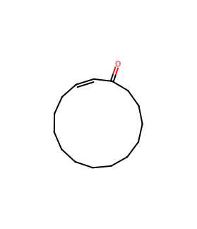 O=C1C=CCCCCCCCCCCCC1